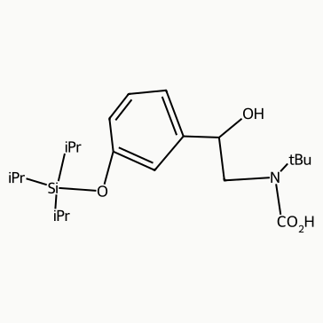 CC(C)[Si](Oc1cccc(C(O)CN(C(=O)O)C(C)(C)C)c1)(C(C)C)C(C)C